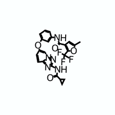 Cc1cc(C(=O)Nc2cccc(Oc3ccc4nc(NC(=O)C5CC5)nn4c3)c2)c(C(F)(F)F)o1